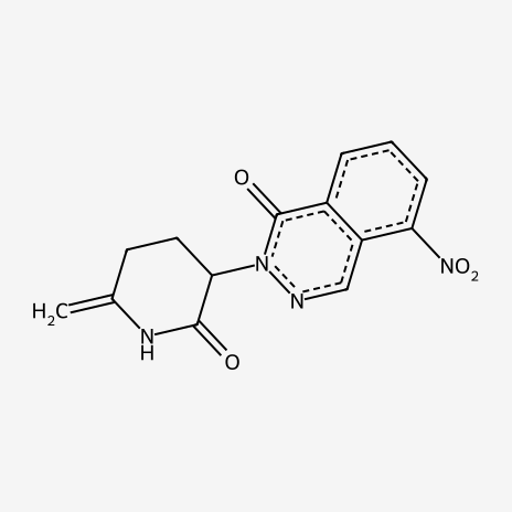 C=C1CCC(n2ncc3c([N+](=O)[O-])cccc3c2=O)C(=O)N1